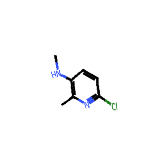 CNc1ccc(Cl)nc1C